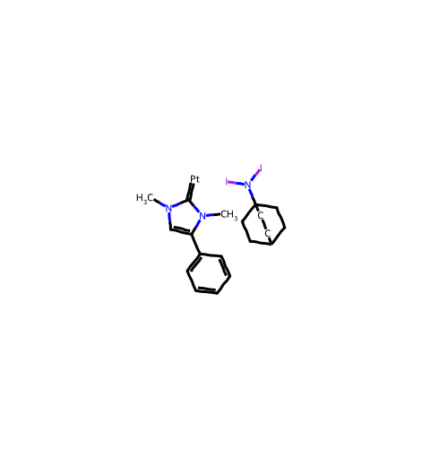 Cn1cc(-c2ccccc2)n(C)[c]1=[Pt].IN(I)C12CCC(CC1)CC2